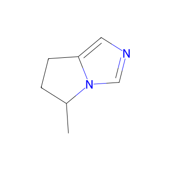 CC1CCc2cncn21